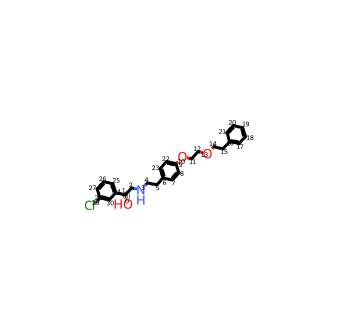 O[C@@H](CNCCc1ccc(OCCOCCc2ccccc2)cc1)c1cccc(Cl)c1